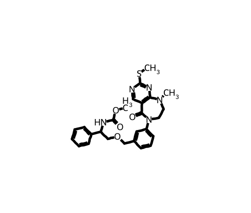 COC(=O)NC(COCc1cccc(N2CCN(C)c3nc(SC)ncc3C2=O)c1)c1ccccc1